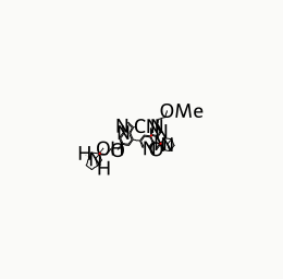 COCCn1ccc(C(=O)N2C3CC2CN(c2ccc(-c4cc(OCCCN5[C@@H]6CC[C@H]5C[C@@H](O)C6)cn5ncc(C#N)c45)cn2)C3)n1